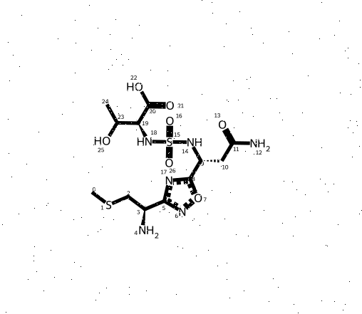 CSC[C@H](N)c1noc([C@@H](CC(N)=O)NS(=O)(=O)N[C@H](C(=O)O)C(C)O)n1